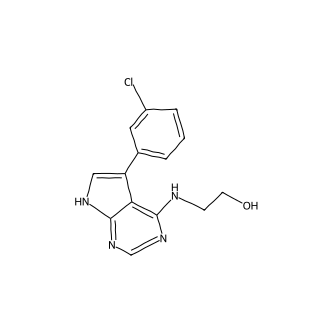 OCCNc1ncnc2[nH]cc(-c3cccc(Cl)c3)c12